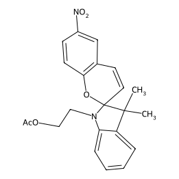 CC(=O)OCCN1c2ccccc2C(C)(C)C12C=Cc1cc([N+](=O)[O-])ccc1O2